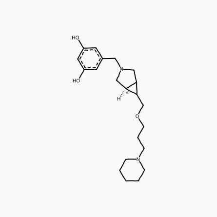 Oc1cc(O)cc(CN2CC3C(COCCCN4CCCCC4)[C@H]3C2)c1